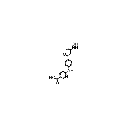 O=C(CC(=O)c1ccc(Nc2ccc(C(=O)O)cn2)cc1)NO